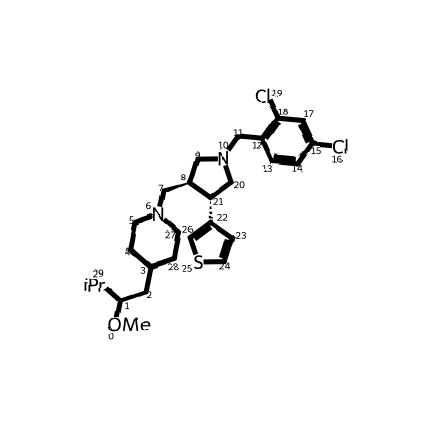 COC(CC1CCN(C[C@H]2CN(Cc3ccc(Cl)cc3Cl)C[C@@H]2c2ccsc2)CC1)C(C)C